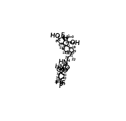 CC[C@@H]1[C@@H]2[C@@H](F)[C@H](O)CC[C@]2(C)C2CC[C@@]3(C)C(CCC3[C@H](C)CCNC(=O)NS(=O)(=O)c3ccc(C(F)(F)F)cc3)C2[C@@H]1O